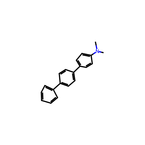 CN(C)c1ccc(-c2ccc(-c3ccccc3)cc2)cc1